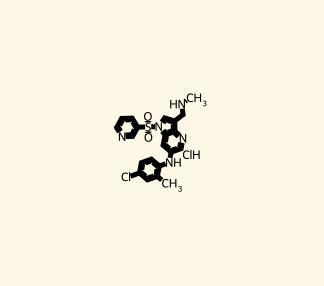 CNCc1cn(S(=O)(=O)c2cccnc2)c2cc(Nc3ccc(Cl)cc3C)cnc12.Cl